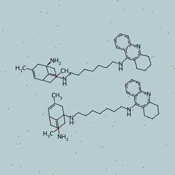 C/C=C1/C2C=C(C)C[C@]1(N)CC(NCCCCCCCNc1c3c(nc4ccccc14)CCCC3)C2.C/C=C1\C2C=C(C)CC1(NCCCCCCCNc1c3c(nc4ccccc14)CCCC3)CC(N)C2